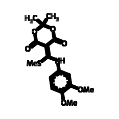 COc1ccc(NC(SC)=C2C(=O)OC(C)(C)OC2=O)cc1OC